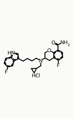 Cl.NC(=O)c1ccc(F)c2c1OCC(N(CCCCc1c[nH]c3ccc(F)cc13)CC1CC1)C2